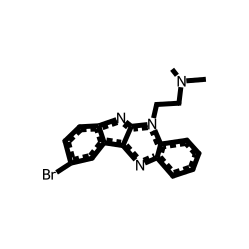 CN(C)CCn1c2nc3ccc(Br)cc3c-2nc2ccccc21